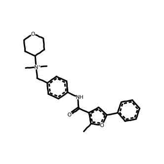 Cc1oc(-c2ccccc2)cc1C(=O)Nc1ccc(C[N+](C)(C)C2CCOCC2)cc1